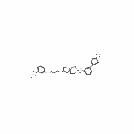 CNS(=O)(=O)c1cccc(OC[C@@H](O)CNC2COC3(CCN(S(=O)(=O)c4cccc(-c5ccc(S(N)(=O)=O)cc5)c4)CC3)C2)c1